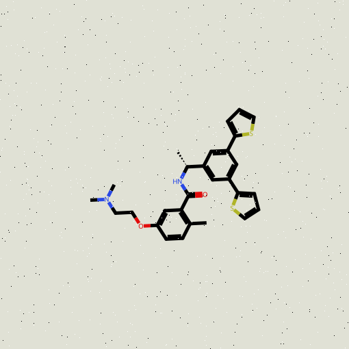 Cc1ccc(OCCN(C)C)cc1C(=O)N[C@H](C)c1cc(-c2cccs2)cc(-c2cccs2)c1